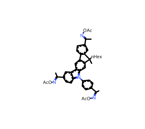 CCCCCCC1(C)c2cc(/C(C)=N/OC(C)=O)ccc2-c2cc3c4cc(/C(C)=N/OC(C)=O)ccc4n(-c4ccc(/C(C)=N\OC(C)=O)cc4)c3cc21